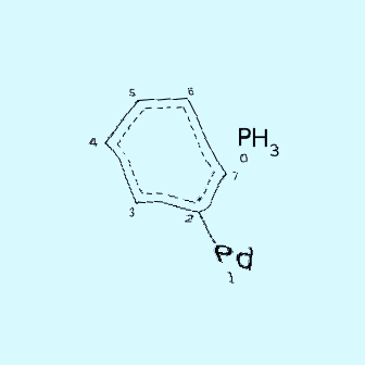 P.[Pd][c]1ccccc1